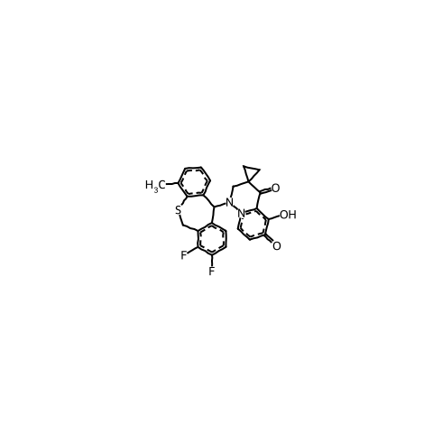 Cc1cccc2c1SCc1c(ccc(F)c1F)C2N1CC2(CC2)C(=O)c2c(O)c(=O)ccn21